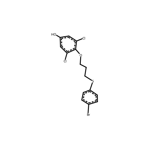 Oc1cc(Cl)c(OCCCSc2ccc(Br)cc2)c(Cl)c1